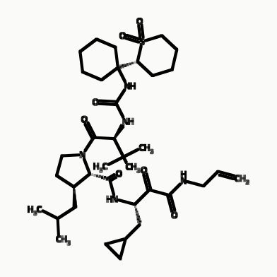 C=CCNC(=O)C(=O)[C@H](CC1CC1)NC(=O)[C@@H]1[C@@H](CC(C)C)CCN1C(=O)[C@@H](NC(=O)NC1([C@H]2CCCCS2(=O)=O)CCCCC1)C(C)(C)C